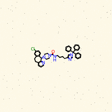 O=C(NCCCCc1cn(C(c2ccccc2)(c2ccccc2)c2ccccc2)cn1)N1CCN(C2c3ccc(Cl)cc3CCc3cccnc32)CC1